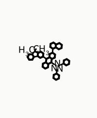 CC1(C)c2ccccc2-c2cc(-c3c4ccccc4c(-c4nc(-c5ccccc5)nc(-c5ccccc5)n4)c4ccc(-c5cccc6ccccc56)cc34)ccc21